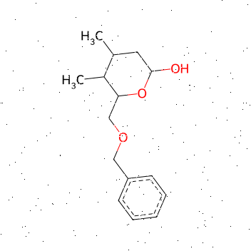 CC1CC(O)OC(COCc2ccccc2)C1C